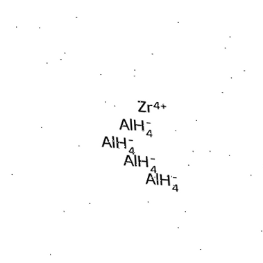 [AlH4-].[AlH4-].[AlH4-].[AlH4-].[Zr+4]